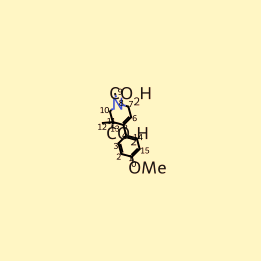 COc1ccc(C2=CCN(C(=O)O)CC2(C)C(=O)O)cc1